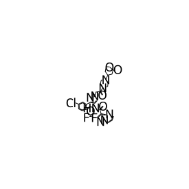 O=C1CC(N2CCN(C(=O)Cn3cc(NC(=O)c4cnn5cccnc45)c(-c4cc(Cl)ccc4OC(F)F)n3)CC2)CCO1